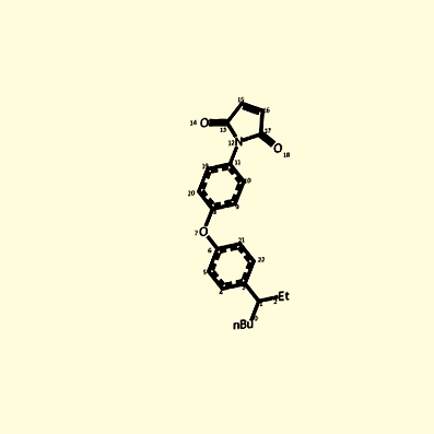 CCCCC(CC)c1ccc(Oc2ccc(N3C(=O)C=CC3=O)cc2)cc1